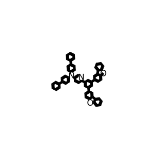 c1ccc(-c2ccc(N(c3ccc(-c4ccccc4)cc3)c3ccc(-c4cc(-c5ccc6oc7ccccc7c6c5)cc(-c5ccc6oc7ccccc7c6c5)c4)nc3)cc2)cc1